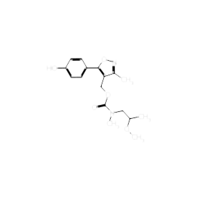 COC(C)CN(C)C(=O)OCc1c(C)noc1-c1ccc(O)cc1